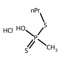 CCCSP(C)(O)=S.Cl